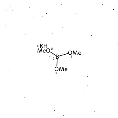 COB(OC)OC.[KH]